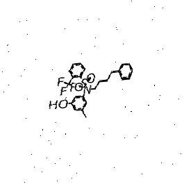 Cc1cc(O)cc(N(CCCCc2ccccc2)S(=O)(=O)c2ccccc2C(F)(F)F)c1